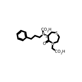 O=C(O)CN1CCSC[C@H](N(CCCc2ccccc2)C(=O)O)C1=O